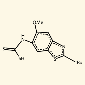 COc1cc2nc(C(C)(C)C)sc2cc1NC(=S)S